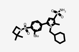 Cc1c(S(N)(=O)=O)cc(-c2ccc(S(=O)(=O)N3CCC3(C)C)c(C(C)(C)C)c2)n1CC1CCCCC1